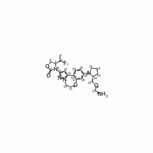 CC(F)[C@@H]1COC(=O)N1c1cc2n(n1)CCOc1cc(N3CCC[C@H]3COCN)ccc1-2